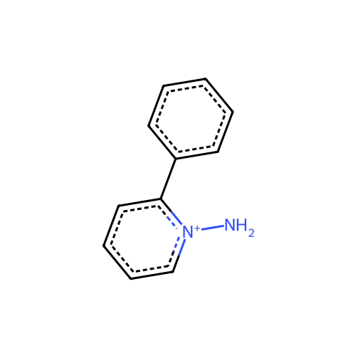 N[n+]1ccccc1-c1ccccc1